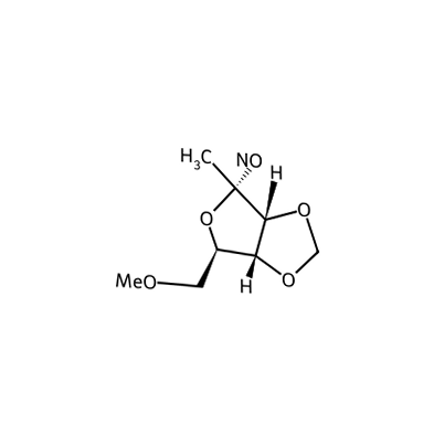 COC[C@H]1O[C@](C)(N=O)[C@@H]2OCO[C@@H]21